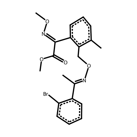 CO/N=C(/C(=O)OC)c1cccc(C)c1CO/N=C(\C)c1ccccc1Br